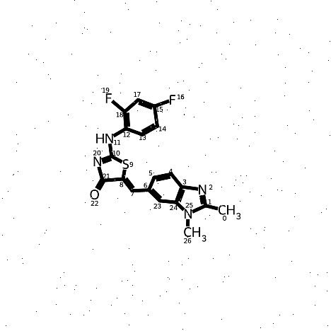 Cc1nc2ccc(/C=C3\SC(Nc4ccc(F)cc4F)=NC3=O)cc2n1C